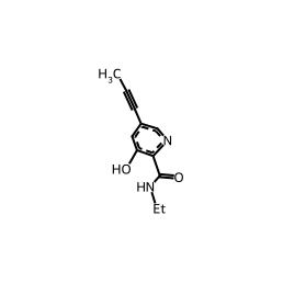 CC#Cc1cnc(C(=O)NCC)c(O)c1